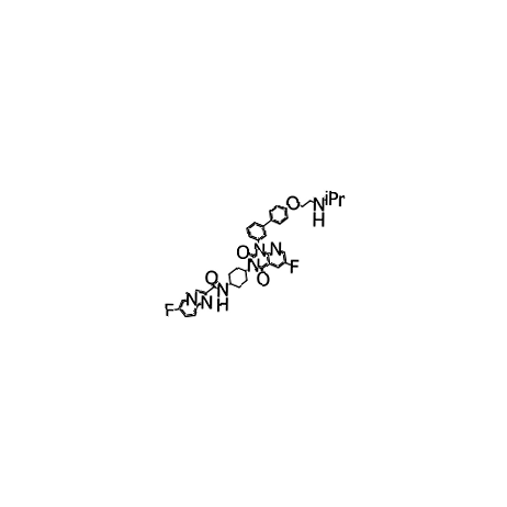 CC(C)NCCOc1ccc(-c2cccc(-n3c(=O)n([C@H]4CC[C@@H](NC(=O)c5cn6cc(F)ccc6n5)CC4)c(=O)c4cc(F)cnc43)c2)cc1